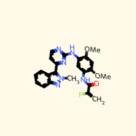 C=C(F)C(=O)Nc1cc(Nc2nccc(-c3c4ccccc4nn3C)n2)c(OC)cc1OC